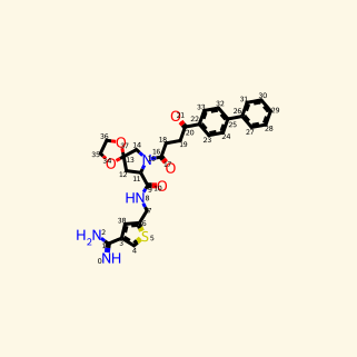 N=C(N)c1csc(CNC(=O)C2CC3(CN2C(=O)CCC(=O)c2ccc(-c4ccccc4)cc2)OCCO3)c1